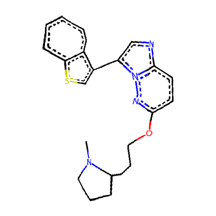 CN1CCCC1CCOc1ccc2ncc(-c3csc4ccccc34)n2n1